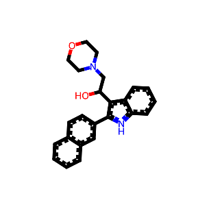 OC(CN1CCOCC1)c1c(-c2ccc3ccccc3c2)[nH]c2ccccc12